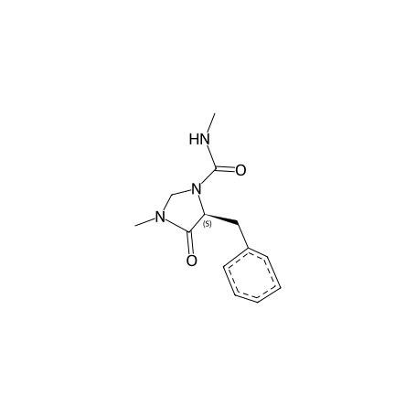 CNC(=O)N1CN(C)C(=O)[C@@H]1Cc1ccccc1